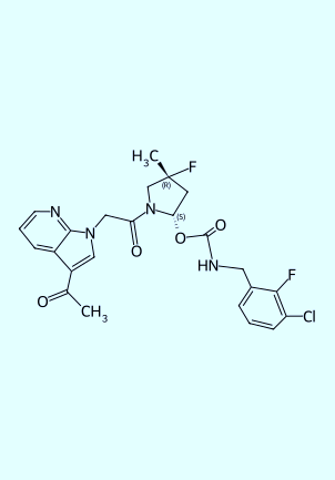 CC(=O)c1cn(CC(=O)N2C[C@](C)(F)C[C@@H]2OC(=O)NCc2cccc(Cl)c2F)c2ncccc12